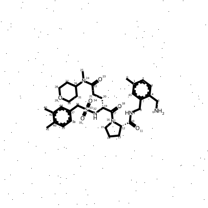 Cc1ccc(CN)c(CNC(=O)[C@@H]2CCCN2C(=O)[C@@H](CCC(=O)N(C)C2CCOCC2)NS(=O)(=O)Cc2ccc(C)c(C)c2)c1